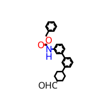 O=CC1CCC(c2cccc(-c3cccc(NC(=O)OCc4ccccc4)c3)c2)CC1